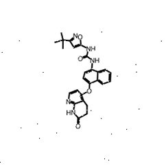 CC(C)(C)c1cc(NC(=O)Nc2ccc(Oc3ccnc4c3CCC(=O)N4)c3ccccc23)on1